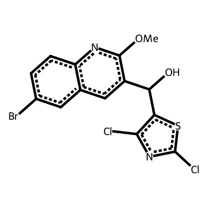 COc1nc2ccc(Br)cc2cc1C(O)c1sc(Cl)nc1Cl